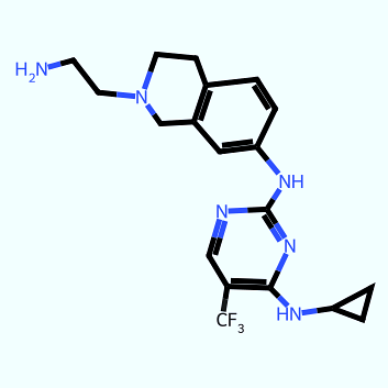 NCCN1CCc2ccc(Nc3ncc(C(F)(F)F)c(NC4CC4)n3)cc2C1